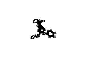 COc1ccc(C(=O)Cl)cc1OC1CCCCC1